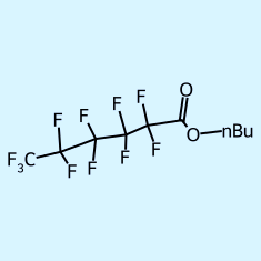 CCCCOC(=O)C(F)(F)C(F)(F)C(F)(F)C(F)(F)C(F)(F)F